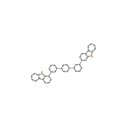 c1cc(-c2ccc(-c3cccc(-c4cccc5c4sc4ccccc45)c3)cc2)cc(-c2ccc3c(c2)sc2ccccc23)c1